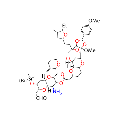 C=C1CCCO[C@@H]1C[C@@H]1O[C@H]2CC(O[Si](C)(C)C(C)(C)C)C(CC=O)O[C@H]2[C@H](N)C1OC(=O)CC1CCC2OC3C[C@@H](OCC4(CCC5CC(C)C(CC)O5)OC3[C@@]3(OC)OC(c5ccc(OC)cc5)OC43)[C@H]2O1